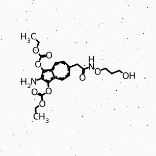 CCOC(=O)Oc1c2ccc(CC(=O)NOCCCO)ccc-2c(OC(=O)OCC)c1N